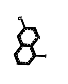 Clc1cnc2c(I)c[c]cc2c1